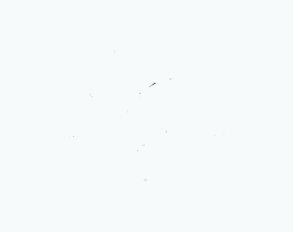 C=CN1C[C@H]2CCCc3cccc(c32)C1=O